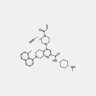 C=CC(=O)N1CCN(c2cc(C(=O)N[C@H]3CC[C@@H](NC)CC3)nc3c2CCN(c2cccc4cccc(C)c24)C3)C[C@@H]1CC#N